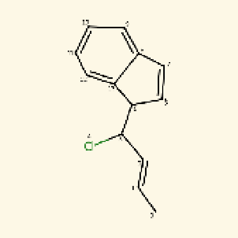 CC=CC(Cl)C1[C]=Cc2ccccc21